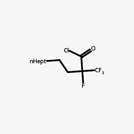 CCCCCCCCCC(F)(C(=O)Cl)C(F)(F)F